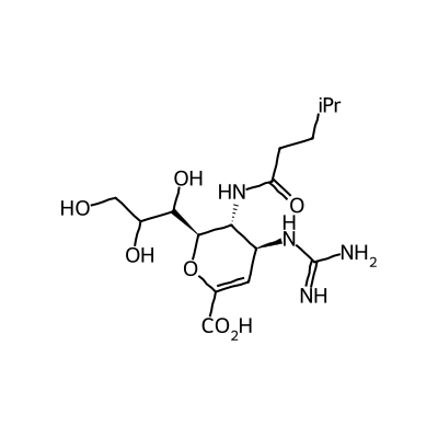 CC(C)CCC(=O)N[C@@H]1[C@@H](NC(=N)N)C=C(C(=O)O)O[C@H]1C(O)C(O)CO